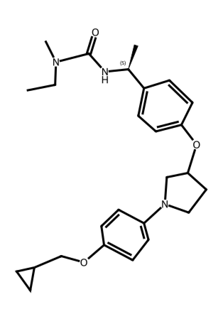 CCN(C)C(=O)N[C@@H](C)c1ccc(OC2CCN(c3ccc(OCC4CC4)cc3)C2)cc1